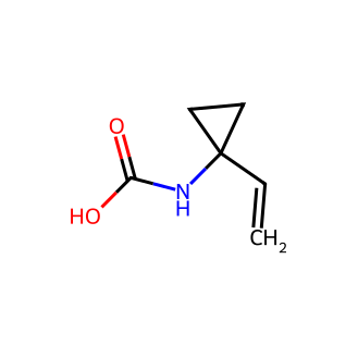 C=CC1(NC(=O)O)CC1